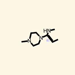 C/C=C(\NC)N1CCN(C)CC1